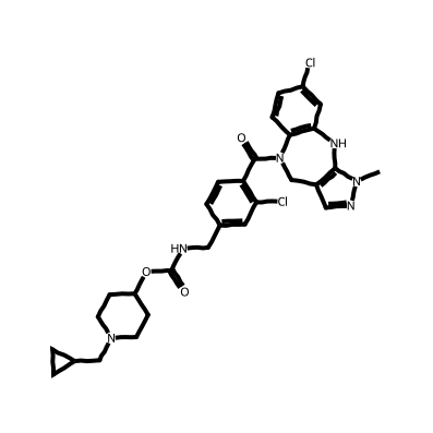 Cn1ncc2c1Nc1cc(Cl)ccc1N(C(=O)c1ccc(CNC(=O)OC3CCN(CC4CC4)CC3)cc1Cl)C2